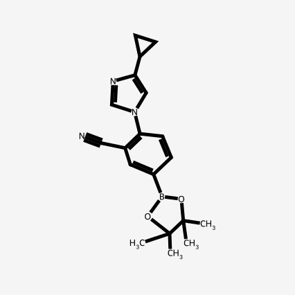 CC1(C)OB(c2ccc(-n3cnc(C4CC4)c3)c(C#N)c2)OC1(C)C